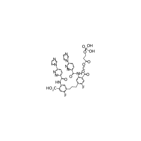 O=C(CCOP(=O)(O)O)OCOC(=O)c1cc(F)c(CCCc2cc(NC(=O)c3ccc(-n4ccnc4)nn3)c(C(=O)O)cc2F)cc1NC(=O)c1ccc(-n2ccnc2)nn1